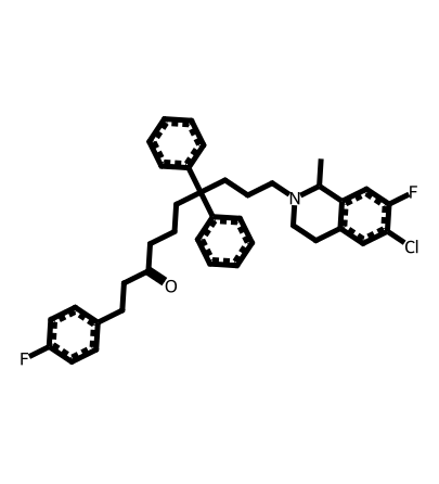 CC1c2cc(F)c(Cl)cc2CCN1CCCC(CCCC(=O)CCc1ccc(F)cc1)(c1ccccc1)c1ccccc1